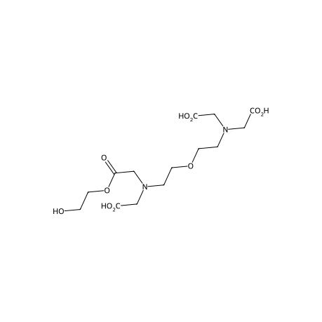 O=C(O)CN(CCOCCN(CC(=O)O)CC(=O)OCCO)CC(=O)O